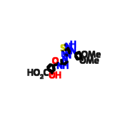 COc1ccc(Nc2nc(N3CCC(NC(=O)c4ccc(C(=O)O)c(O)c4)C3)nc3scnc23)cc1OC